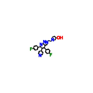 O[C@@H]1CCN(CCn2cc3c(-c4ccc(F)cc4)c(-c4ccncc4)c(-c4ccc(F)cc4)nc3n2)C1